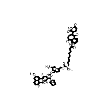 C#Cc1c(F)ccc2cc(O)cc(-c3ncc4c(N5CC6CCC(C5)N6)nc(OCC56CCC(COC(=O)N(C)CCCCCCCCC(=O)Nc7cccc8c7C(=O)CCC(C7CCC(=O)NC7=O)C8=O)N5CC(=C)C6)nc4c3F)c12